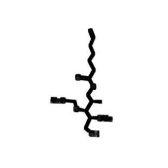 C=CCCCCC(=O)OC[C@@H](C)[C@H](OCOC)[C@H](CO)OC